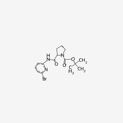 CC(C)(C)OC(=O)N1CCCC1C(=O)Nc1cccc(Br)n1